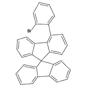 Brc1ccccc1-c1cccc2c1-c1ccccc1C21c2ccccc2-c2ccccc21